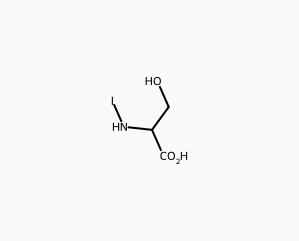 O=C(O)C(CO)NI